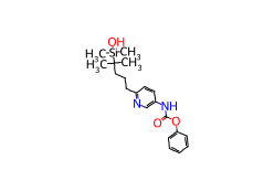 CC(C)(CCCc1ccc(NC(=O)Oc2ccccc2)cn1)[Si](C)(C)O